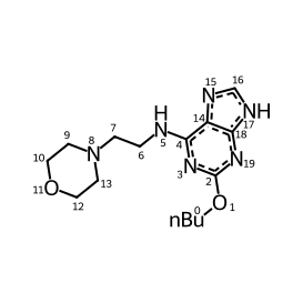 CCCCOc1nc(NCCN2CCOCC2)c2nc[nH]c2n1